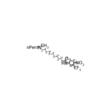 CCCCCN(C)CCCCCCCCCCCC(=O)Nc1ccc([N+](=O)[O-])c(C(F)(F)F)c1